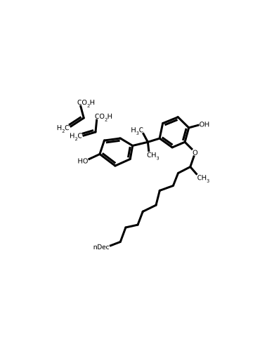 C=CC(=O)O.C=CC(=O)O.CCCCCCCCCCCCCCCCCCC(C)Oc1cc(C(C)(C)c2ccc(O)cc2)ccc1O